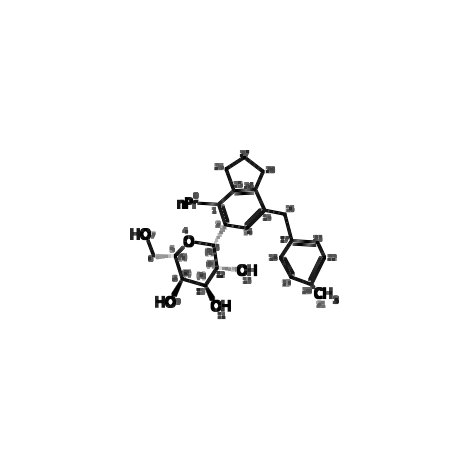 CCCc1c([C@H]2O[C@@H](CO)[C@H](O)[C@H](O)[C@H]2O)cc(Cc2ccc(C)cc2)c2c1CCC2